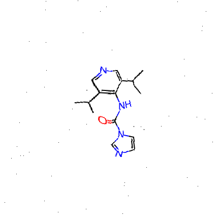 CC(C)c1cncc(C(C)C)c1NC(=O)n1ccnc1